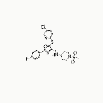 CS(=O)(=O)N1CCC(NCc2nc(-c3ccc(F)cc3)oc2Sc2ccc(Cl)cn2)CC1